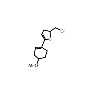 COC1CC=C(C2=CCC(CO)S2)CC1